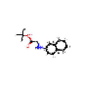 CC(C)(C)OC(=O)CNc1ccc2ccccc2c1